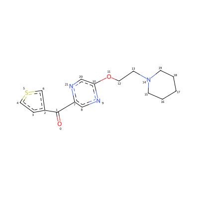 O=C(c1ccsc1)c1cnc(OCCN2CCCCC2)cn1